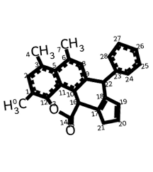 Cc1cc(C)c2c(C)cc3c4c2c1OC(=O)C4C1=C(C=CC1)C3c1ccccc1